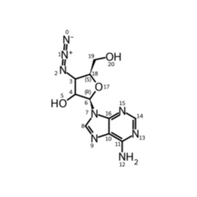 [N-]=[N+]=NC1C(O)[C@H](n2cnc3c(N)ncnc32)O[C@@H]1CO